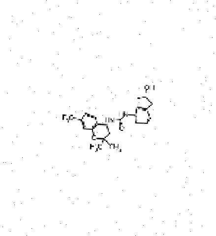 CC1(C)C[C@@H](NC(=O)Nc2cccc3c2C[C@H](O)C3)c2ccc(C(F)(F)F)cc2O1